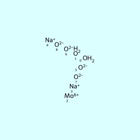 O.O.[Mo+6].[Na+].[Na+].[O-2].[O-2].[O-2].[O-2]